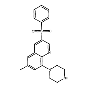 Cc1cc(N2CCNCC2)c2ncc(S(=O)(=O)c3ccccc3)cc2c1